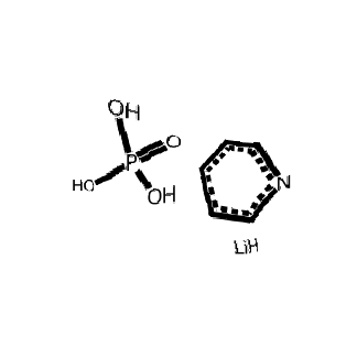 O=P(O)(O)O.[LiH].c1ccncc1